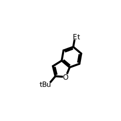 CCc1ccc2oc(C(C)(C)C)cc2c1